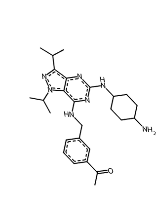 CC(=O)c1cccc(CNc2nc(NC3CCC(N)CC3)nc3c(C(C)C)nn(C(C)C)c23)c1